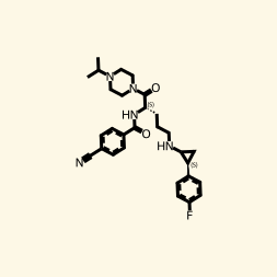 CC(C)N1CCN(C(=O)[C@H](CCCNC2C[C@H]2c2ccc(F)cc2)NC(=O)c2ccc(C#N)cc2)CC1